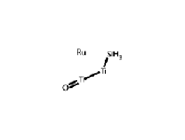 [O]=[Ti][Ti][SiH3].[Ru]